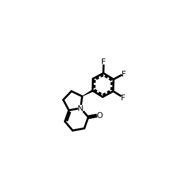 O=C1CCC=C2CC[C@@H](c3cc(F)c(F)c(F)c3)N12